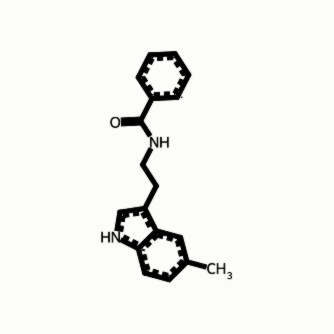 Cc1ccc2[nH]cc(CCNC(=O)c3[c]cccc3)c2c1